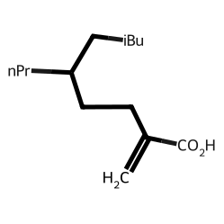 C=C(CCC(CCC)CC(C)CC)C(=O)O